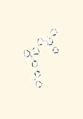 c1ccc(-c2cc(-c3ccccc3)nc(-c3cccc(-c4ccc5c(c4)c4ccccc4n5-c4ccc(-c5ccc6c(c5)oc5ccccc56)cc4)c3)n2)cc1